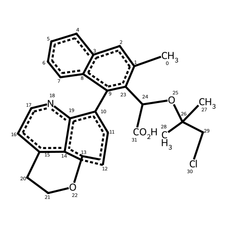 Cc1cc2ccccc2c(-c2ccc3c4c(ccnc24)CCO3)c1C(OC(C)(C)CCl)C(=O)O